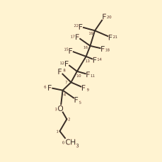 CCCOC(F)(F)C(F)(F)C(F)(F)C(F)(F)C(F)(F)C(F)(F)F